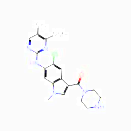 CNc1nc(Nc2cc3c(cc2Cl)c(C(=O)N2CCNCC2)cn3C)ncc1C(F)(F)F